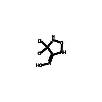 ON=C1NONC1(Cl)Cl